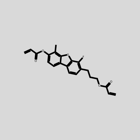 C=CC(=O)OCCCc1ccc2c(sc3c(C)c(OC(=O)C=C)ccc32)c1F